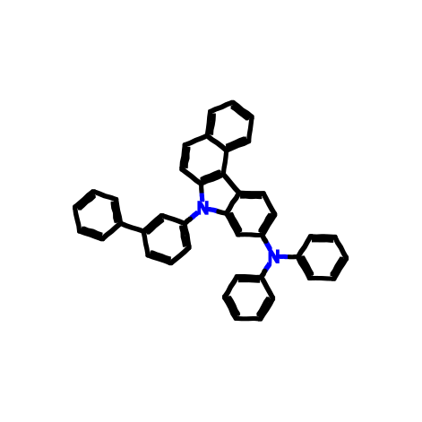 c1ccc(-c2cccc(-n3c4cc(N(c5ccccc5)c5ccccc5)ccc4c4c5ccccc5ccc43)c2)cc1